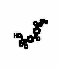 CC(C)(C)OC(=O)N1CCN(C(=O)c2ccc(N3C(=O)OC[C@H]3CO)cc2)CC1